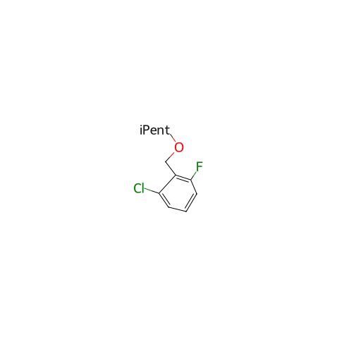 CCCC(C)OCc1c(F)cccc1Cl